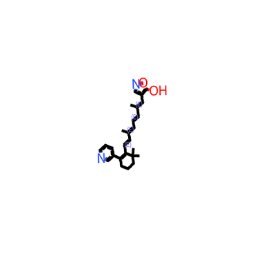 CC(/C=C/C1=C(c2cccnc2)CCCC1(C)C)=C\C=C\C(C)=C\c1cnoc1O